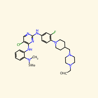 CSN(C)c1ccccc1Nc1nc(Nc2ccc(N3CCC(CN4CCN(CC=O)CC4)CC3)c(F)c2)ncc1Cl